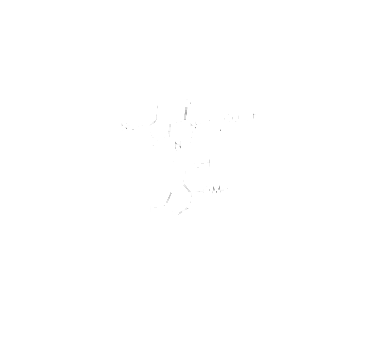 CCOC(=O)C(C)(C)CN1CN(CC(O)c2cc(F)ccc2OC)c2sc(C#N)c(C)c2C1=O